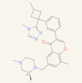 Cc1cc(CN2CCN(C)C[C@@H]2C)cc2c(=O)c(-c3cccc(C4(c5nncn5C)CC(C)C4)c3)coc12